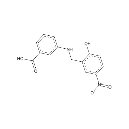 O=C(O)c1cccc(NCc2cc([N+](=O)[O-])ccc2O)c1